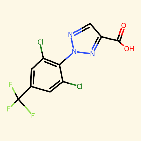 O=C(O)c1cnn(-c2c(Cl)cc(C(F)(F)F)cc2Cl)n1